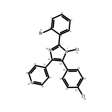 CCn1c(-c2ccccc2Br)nc(-c2ccncc2)c1-c1ccc(Cl)cc1